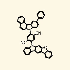 N#Cc1cc(-n2c3ccc(-c4ccccc4)cc3c3c4ccccc4ccc32)c(C#N)cc1-n1c2ccccc2c2cc3c(cc21)oc1ccccc13